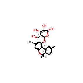 CCCc1cc(OC2O[C@H](O)[C@@H](O)[C@H](O)[C@H]2CO)c2c(c1)OC(C)(C)[C@@H]1CCC(C)=C[C@@H]21